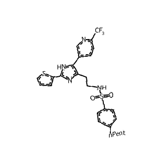 CCCCCc1ccc(S(=O)(=O)NCCc2nc(-c3cccs3)[nH]c2-c2ccc(C(F)(F)F)nc2)cc1